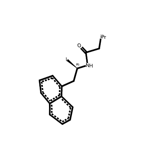 CC(C)CC(=O)N[C@H](I)Cc1cccc2ccccc12